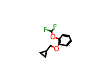 FC(F)Oc1ccc[c]c1OCC1CC1